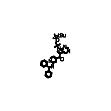 CC(C)(CO[Si](C)(C)C(C)(C)C)n1cc(C(=O)c2ccnc(N=C(c3ccccc3)c3ccccc3)c2)c2cncnc21